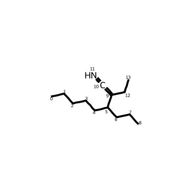 CCCCCC(CCC)C(=C=N)CC